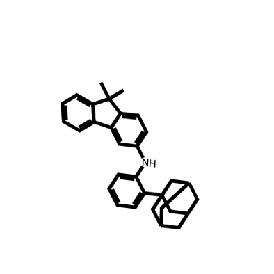 CC1(C)c2ccccc2-c2cc(Nc3ccccc3C34CC5CC(CC(C5)C3)C4)ccc21